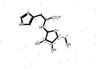 O=C(O)[C@H](Cc1c[nH]cn1)NC1O[C@H](CO)[C@@H](O)[C@H]1O